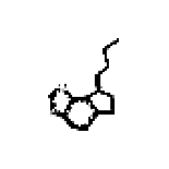 CCC/C=C1\CCc2ccc3ncoc3c21